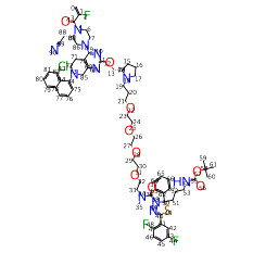 C=C(F)C(=O)N1CCN(c2nc(OC[C@@H]3CCCN3CCCOCCOCCOCCOCCN(C)C(=O)N3N=C(c4cc(F)ccc4F)SC3(CCCNC(=O)OC(C)(C)C)c3ccccc3)nc3c2CCN(c2cccc4cccc(Cl)c24)C3)C[C@@H]1CC#N